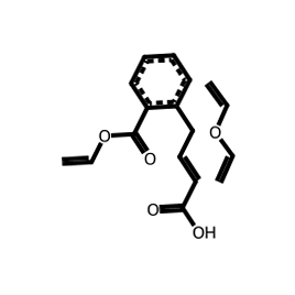 C=COC(=O)c1ccccc1C/C=C/C(=O)O.C=COC=C